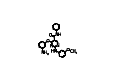 COc1cccc(Nc2ncc(C(=O)Nc3ccccc3)c(Oc3cccc(N)c3)n2)c1